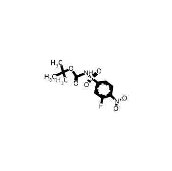 CC(C)(C)OC(=O)NS(=O)(=O)c1ccc([N+](=O)[O-])c(F)c1